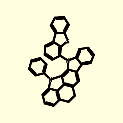 c1ccc(-n2c3cccc4c3c3c(cc5c6ccccc6n(-c6cccc7c6sc6ccccc67)c5c32)CC4)cc1